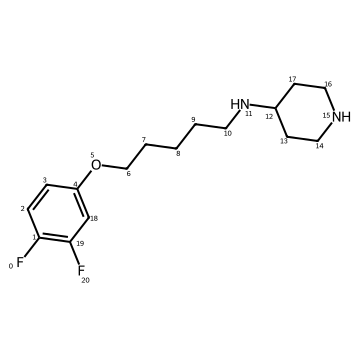 Fc1ccc(OCCCCCNC2CCNCC2)cc1F